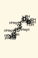 CCCCCCCC(COC1OC(C)C(O)C(OC2OC(C)C(O)C(O)[C@H]2CO)C1O)CC(=O)OC(CCCCCCC)CC(=O)OC(CCCCCCC)CC(=O)NC(CO)C(=O)NC(CO)CC(C)C